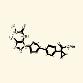 COC(=O)C1(c2ccc(-c3ccc(-n4nnc(C)c4NC(=O)OC(C)C)cc3)cc2)CC1